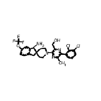 Cc1nc(N2CCC3(CC2)Cc2ccc(OC(F)(F)F)cc2[C@H]3N)c(CO)nc1-c1cccc(Cl)c1Cl